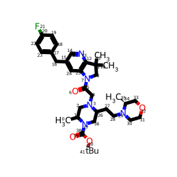 CC1CN(CC(=O)N2CC(C)(C)c3ncc(Cc4ccc(F)cc4)cc32)C(CCN2CCOC[C@H]2C)CN1C(=O)OC(C)(C)C